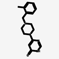 Cc1ccccc1CN1CCN(c2cc(=O)[nH]cn2)CC1